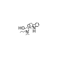 CCCCN(CC(CCO)C1(C)OCCc2c1[nH]c1ccccc21)C(C)C